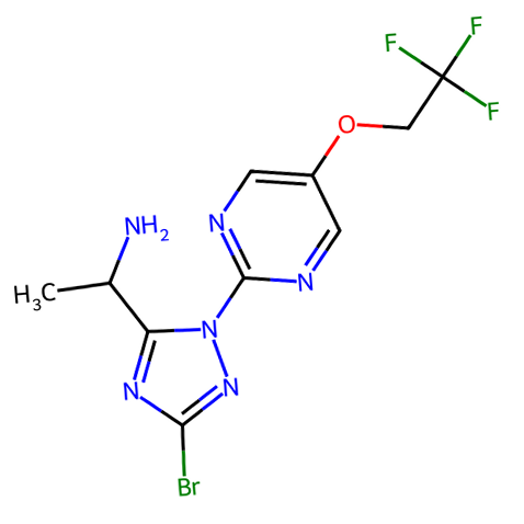 CC(N)c1nc(Br)nn1-c1ncc(OCC(F)(F)F)cn1